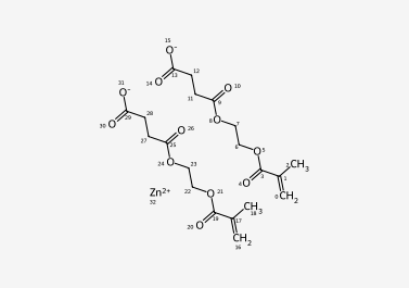 C=C(C)C(=O)OCCOC(=O)CCC(=O)[O-].C=C(C)C(=O)OCCOC(=O)CCC(=O)[O-].[Zn+2]